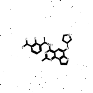 Cc1nc(N[C@H](C)c2cccc(C(F)F)c2F)c2cc(O[C@H]3CCOC3)c3occc3c2n1